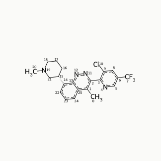 Cc1c(-c2ncc(C(F)(F)F)cc2Cl)nnc2c([C@H]3CCCN(C)C3)cccc12